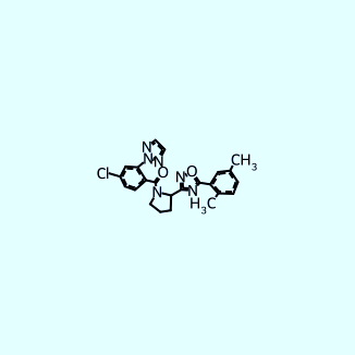 Cc1ccc(C)c(-c2nc(C3CCCN3C(=O)c3ccc(Cl)cc3-n3nccn3)no2)c1